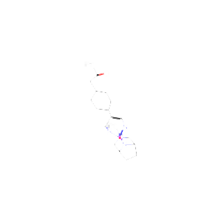 CC(C)C(=O)CC1CCC(c2cnc(N3C4CCC3CN(C(C)C)C4)nc2)CC1